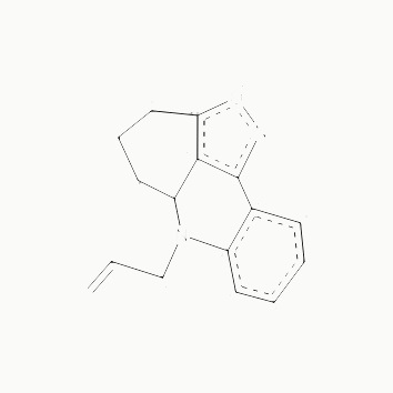 C=CCN1c2ccccc2-c2noc3c2C1CCC3